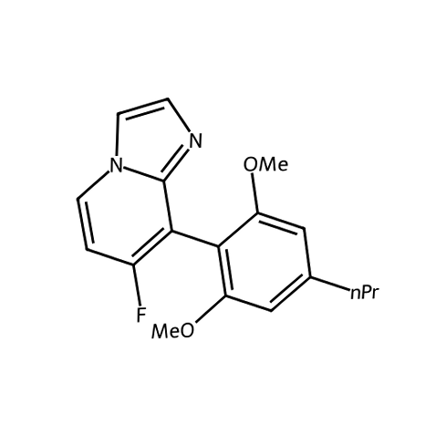 CCCc1cc(OC)c(-c2c(F)ccn3ccnc23)c(OC)c1